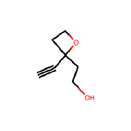 C#CC1(CCO)CCO1